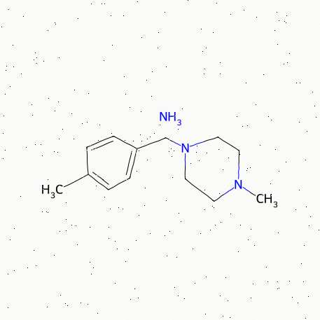 Cc1ccc(CN2CCN(C)CC2)cc1.N